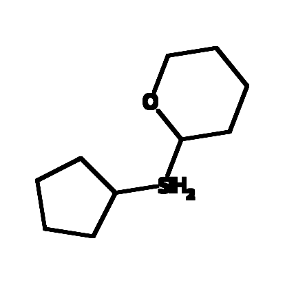 C1CCC([SiH2]C2CCCC2)OC1